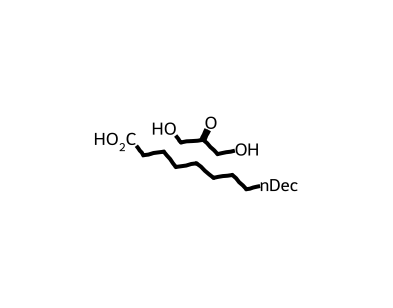 CCCCCCCCCCCCCCCCCC(=O)O.O=C(CO)CO